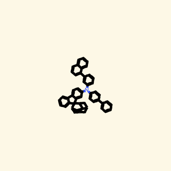 c1ccc(-c2ccc(N(c3cccc(-c4cccc5ccccc45)c3)c3ccc4c(c3)C3(c5ccccc5-4)C4CC5CC(C4)CC3C5)cc2)cc1